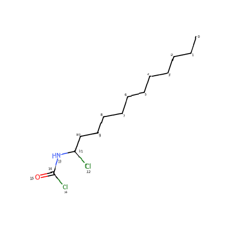 CCCCCCCCCCCC(Cl)NC(=O)Cl